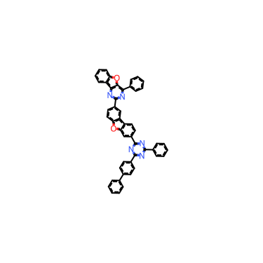 c1ccc(-c2ccc(-c3nc(-c4ccccc4)nc(-c4ccc5c(c4)oc4ccc(-c6nc(-c7ccccc7)c7oc8ccccc8c7n6)cc45)n3)cc2)cc1